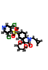 O=C1N(CC2CC2)c2ccc(S(=O)(=O)c3c(Cl)cncc3Cl)cc2C12OCCCO2